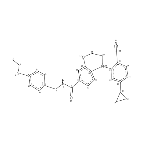 CCSc1ccc(CNC(=O)c2ccc3c(c2)OCCN3c2cc(C3CC3)ccc2C#N)cc1